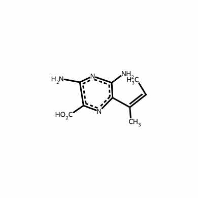 C/C=C(/C)c1nc(C(=O)O)c(N)nc1N